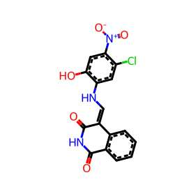 O=C1NC(=O)c2ccccc2/C1=C/Nc1cc(Cl)c([N+](=O)[O-])cc1O